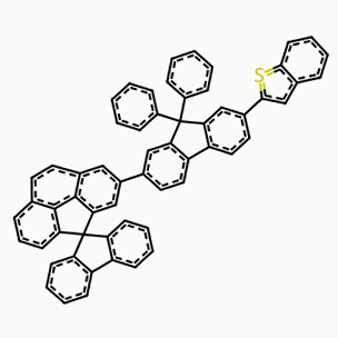 c1ccc(C2(c3ccccc3)c3cc(-c4cc5c6c(ccc7cccc(c76)C56c5ccccc5-c5ccccc56)c4)ccc3-c3ccc(-c4cc5ccccc5s4)cc32)cc1